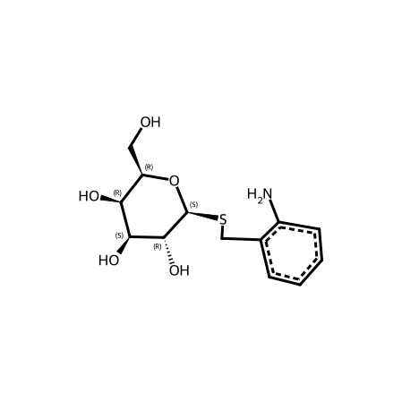 Nc1ccccc1CS[C@@H]1O[C@H](CO)[C@H](O)[C@H](O)[C@H]1O